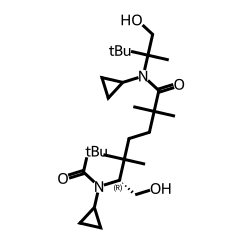 CC(C)(C)C(=O)N(C1CC1)[C@@H](CO)C(C)(C)CCC(C)(C)C(=O)N(C1CC1)C(C)(CO)C(C)(C)C